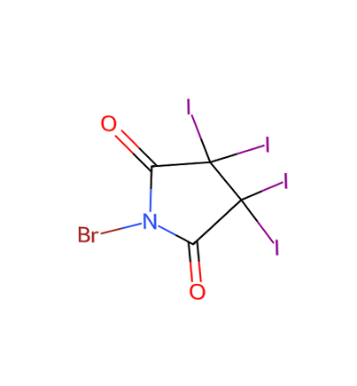 O=C1N(Br)C(=O)C(I)(I)C1(I)I